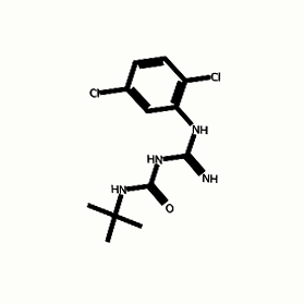 CC(C)(C)NC(=O)NC(=N)Nc1cc(Cl)ccc1Cl